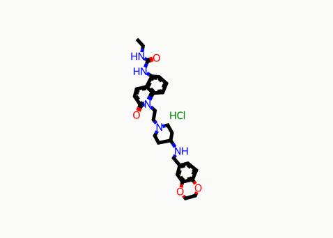 CCNC(=O)Nc1cccc2c1ccc(=O)n2CCN1CCC(NCc2ccc3c(c2)OCCO3)CC1.Cl